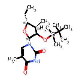 CC[C@H]1O[C@@H](n2cc(C)c(=O)[nH]c2=O)C(O[Si](C)(C)C(C)(C)C)[C@H]1C